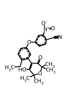 CCc1ccc(Oc2ccc(C#N)c([N+](=O)[O-])c2)cc1C1=C(O)C(C)(C)OC(C)(C)C1=O